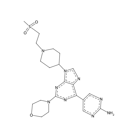 CS(=O)(=O)CCN1CCC(n2cnc3c(-c4cnc(N)nc4)nc(N4CCOCC4)nc32)CC1